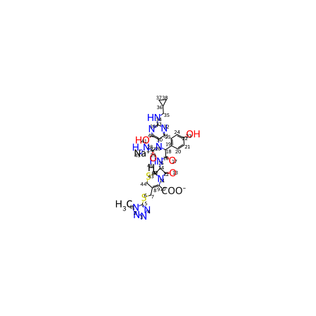 Cn1nnnc1SCC1=C(C(=O)[O-])N2C(=O)C(NC(=O)C(c3ccc(O)cc3)N(C(N)=O)c3cnc(NCC4CC4)nc3O)[C@H]2SC1.[Na+]